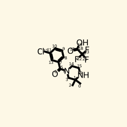 CC1(C)CN(C(=O)c2cccc(Cl)c2)CCN1.O=C(O)C(F)(F)F